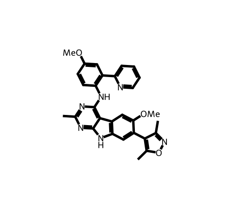 COc1ccc(Nc2nc(C)nc3[nH]c4cc(-c5c(C)noc5C)c(OC)cc4c23)c(-c2ccccn2)c1